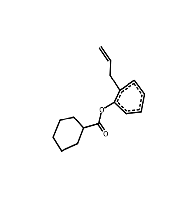 C=CCc1ccccc1OC(=O)C1CCCCC1